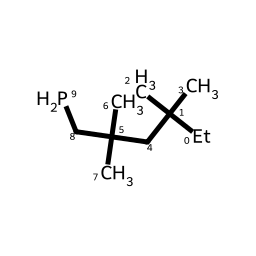 CCC(C)(C)CC(C)(C)CP